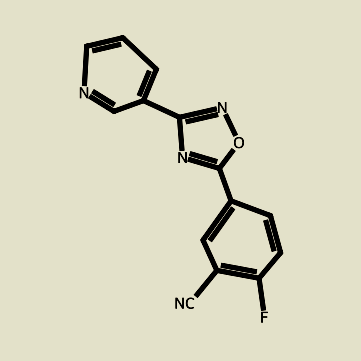 N#Cc1cc(-c2nc(-c3cccnc3)no2)ccc1F